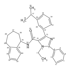 CCn1c(-c2ccccc2)nc(-c2cccc(C(C)C)c2)c1C(=O)NC1CCCCc2ccccc21